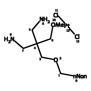 CCCCCCCCCCOCC(CN)(CN)COC.[Cl][Pt][Cl]